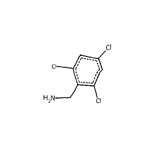 N[CH]c1c(Cl)cc(Cl)cc1Cl